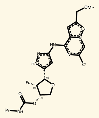 COCc1cc2c(Nc3cc([C@@H]4OC[C@H](OC(=O)NC(C)C)[C@@H]4F)[nH]n3)nc(Cl)cn2n1